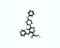 Cc1c(N2CCC(Oc3ccccc3)CC2)nnc(C(N)=O)c1Cc1ccncc1